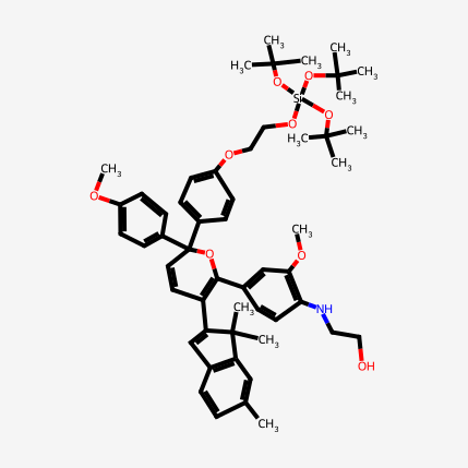 COc1ccc(C2(c3ccc(OCCO[Si](OC(C)(C)C)(OC(C)(C)C)OC(C)(C)C)cc3)C=CC(C3=Cc4ccc(C)cc4C3(C)C)=C(c3ccc(NCCO)c(OC)c3)O2)cc1